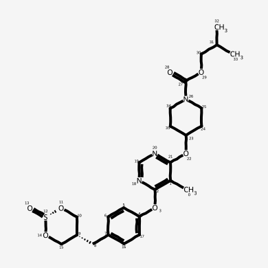 Cc1c(Oc2ccc(C[C@H]3CO[S@@](=O)OC3)cc2)ncnc1OC1CCN(C(=O)OCC(C)C)CC1